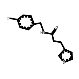 O=C(CCc1ccsc1)NCc1ccc(Cl)cc1